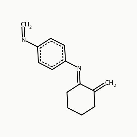 C=Nc1ccc(/N=C2\CCCCC2=C)cc1